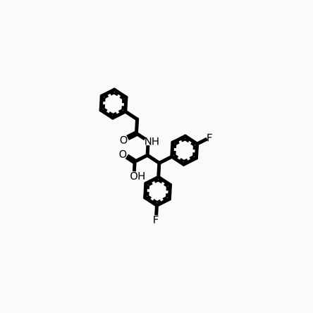 O=C(Cc1ccccc1)NC(C(=O)O)C(c1ccc(F)cc1)c1ccc(F)cc1